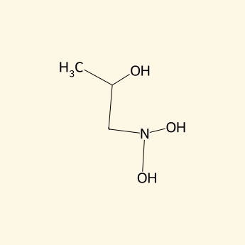 CC(O)CN(O)O